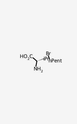 CC(C)[C@H](N)C(=O)O.CCCCCBr